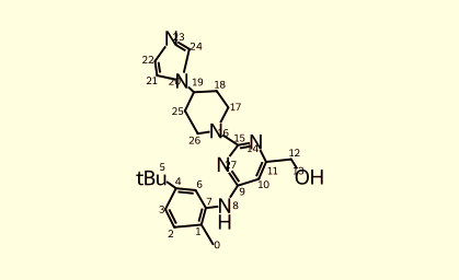 Cc1ccc(C(C)(C)C)cc1Nc1cc(CO)nc(N2CCC(n3ccnc3)CC2)n1